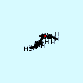 CNCCNCc1ccc(NC(=O)c2ccc(C)c(C#Cc3cnc(Nc4cn(CCC(C)(C)O)nc4OC)nc3)c2)cc1